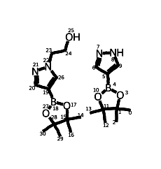 CC1(C)OB(c2cn[nH]c2)OC1(C)C.CC1(C)OB(c2cnn(CCO)c2)OC1(C)C